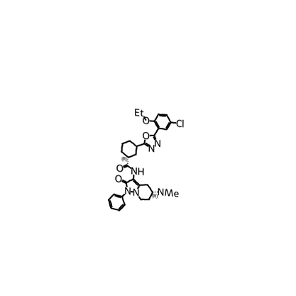 CCOc1ccc(Cl)cc1-c1nnc(C2CCC[C@@H](C(=O)Nc3c4n(n(-c5ccccc5)c3=O)CC[C@@H](NC)C4)C2)o1